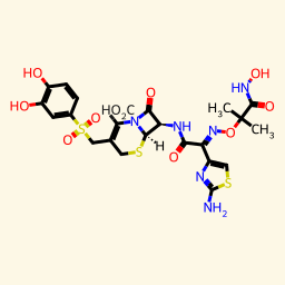 CC(C)(ON=C(C(=O)N[C@@H]1C(=O)N2C(C(=O)O)=C(CS(=O)(=O)c3ccc(O)c(O)c3)CS[C@H]12)c1csc(N)n1)C(=O)NO